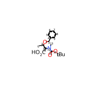 C[C@@H](OCc1ccccc1)[C@@H](C(=O)O)N(C)C(=O)OC(C)(C)C